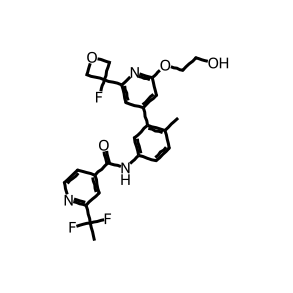 Cc1ccc(NC(=O)c2ccnc(C(C)(F)F)c2)cc1-c1cc(OCCO)nc(C2(F)COC2)c1